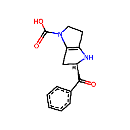 O=C(c1ccccc1)[C@H]1CC2=C(CCN2C(=O)O)N1